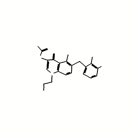 O=C(O)Oc1cn(CCO)c2ccc(Cc3cccc(Cl)c3Cl)c(O)c2c1=O